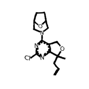 C=CCC1(C)OCc2c(N3CC4CCC(C3)O4)nc(Cl)nc21